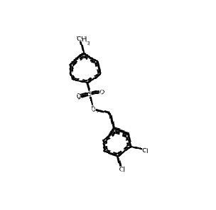 Cc1ccc(S(=O)(=O)OCc2ccc(Cl)c(Cl)c2)cc1